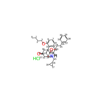 CCCCOc1cccc2c1[C@]13CCN(CC4CC4)[C@H](C2)[C@]1(OCCCc1ccccc1)CCC(=O)C3.Cl